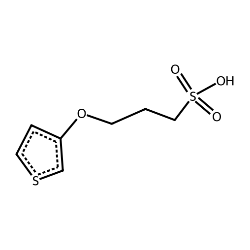 O=S(=O)(O)CCCOc1ccsc1